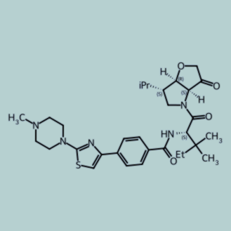 CCC(C)(C)[C@H](NC(=O)c1ccc(-c2csc(N3CCN(C)CC3)n2)cc1)C(=O)N1C[C@H](C(C)C)[C@H]2OCC(=O)[C@H]21